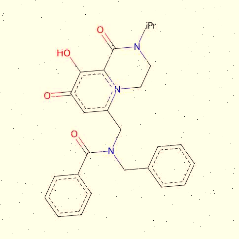 CC(C)N1CCn2c(CN(Cc3ccccc3)C(=O)c3ccccc3)cc(=O)c(O)c2C1=O